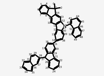 CC1(C)c2ccccc2-c2cc3c4cc(-c5ccc6c(c5)-c5ccccc5C6c5ccc6ccccc6c5)ccc4n(-c4cccc5ccccc45)c3cc21